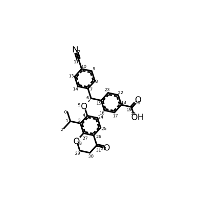 CC(C)c1c(O[C@H](c2ccc(C#N)cc2)c2ccc(C(=O)O)cc2)ccc2c1OCCC2=O